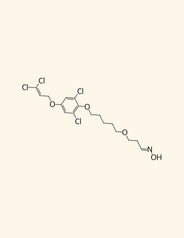 O/N=C/CCOCCCCCOc1c(Cl)cc(OCC=C(Cl)Cl)cc1Cl